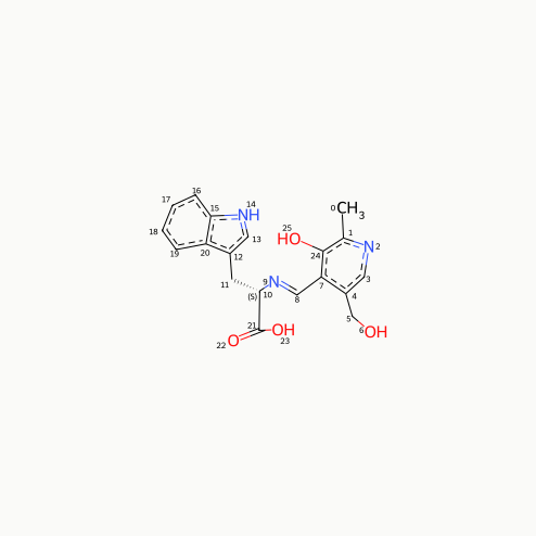 Cc1ncc(CO)c(C=N[C@@H](Cc2c[nH]c3ccccc23)C(=O)O)c1O